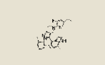 CCc1cccc(CC)c1-n1nc2c(c1-c1ccc(C)c3[nH]ccc13)CN(c1ncc(C(C)C)cc1F)CC2